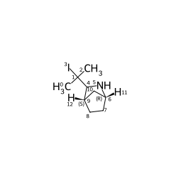 CC(C)(I)C1N[C@@H]2CC[C@H]1C2